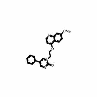 COc1ccc2c(OCCn3cc(-c4ccccc4)cnc3=O)ccnc2c1